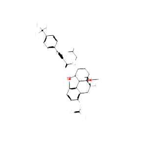 CC(=O)Oc1ccc2c3c1C[C@@H]1[C@@H]4CC[C@@H](N(CC(C)C)C(=O)C#Cc5ccc(C(F)(F)F)cc5)[C@H](O2)[C@]34CCN1C